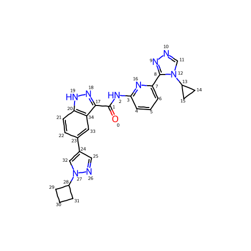 O=C(Nc1cccc(-c2nncn2C2CC2)n1)c1n[nH]c2ccc(-c3cnn(C4CCC4)c3)cc12